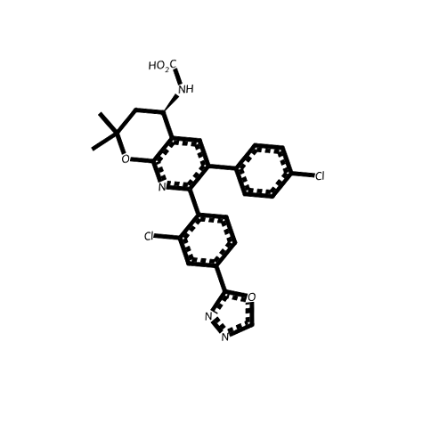 CC1(C)C[C@@H](NC(=O)O)c2cc(-c3ccc(Cl)cc3)c(-c3ccc(-c4nnco4)cc3Cl)nc2O1